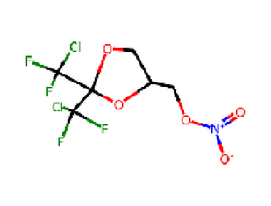 O=[N+]([O-])OCC1COC(C(F)(F)Cl)(C(F)(F)Cl)O1